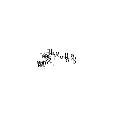 CNC(=O)[C@H](CCCNC(N)=O)NC(=O)[C@@H](NCCNC(=O)CCOCCNC(=O)CCN1C(=O)C=CC1=O)C(C)C